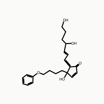 O=C1C=CC(O)(CCCCOc2ccccc2)C1=C/C=C/C(O)CCCO